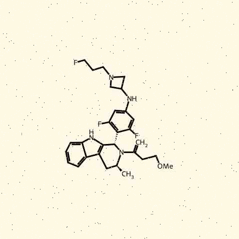 C=C(CCOC)N1[C@@H](c2c(F)cc(NC3CN(CCCF)C3)cc2F)c2[nH]c3ccccc3c2C[C@@H]1C